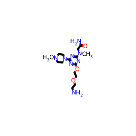 CN1CCN(c2nc(OCCOCCN)nc(N(C)CC(N)=O)n2)CC1